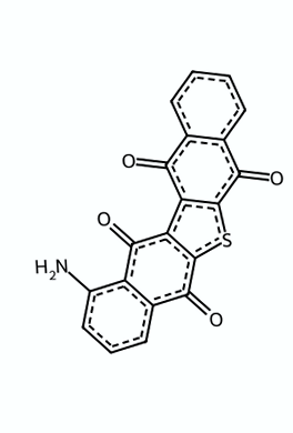 Nc1cccc2c(=O)c3sc4c(=O)c5ccccc5c(=O)c4c3c(=O)c12